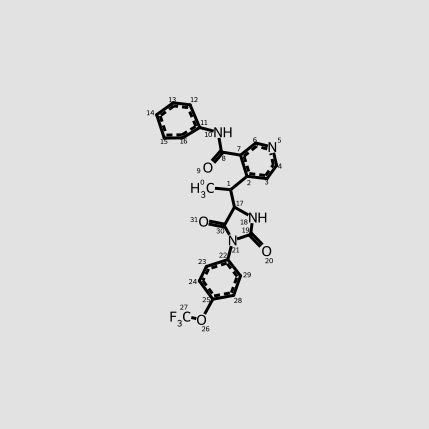 CC(c1ccncc1C(=O)Nc1ccccc1)C1NC(=O)N(c2ccc(OC(F)(F)F)cc2)C1=O